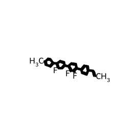 CC=Cc1ccc(-c2ccc(-c3ccc(-c4ccc(C)cc4)c(F)c3)c(F)c2F)cc1